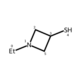 CCN1CC(S)C1